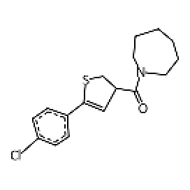 O=C(C1C=C(c2ccc(Cl)cc2)SC1)N1CCCCCC1